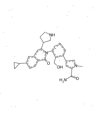 Cn1cc(-c2cccc(-n3c(C4CCNC4)cc4cc(C5CC5)ccc4c3=O)c2CO)cc1C(N)=O